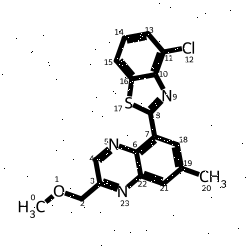 COCc1cnc2c(-c3nc4c(Cl)cccc4s3)cc(C)cc2n1